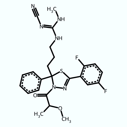 CNC(=NC#N)NCCCC1(c2ccccc2)SC(c2cc(F)ccc2F)=NN1C(=O)C(C)OC